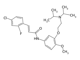 COc1ccc(NC(=O)C=Cc2ccc(Cl)cc2F)cc1OCCN(C(C)C)C(C)C